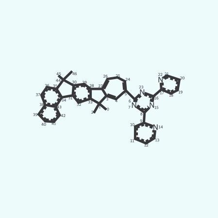 CC1(C)C2=CC(c3nc(-c4ccccn4)nc(-c4ccccn4)n3)=CCC=C2c2cc3c(cc21)-c1c(ccc2ccccc12)C3(C)C